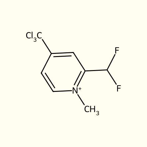 C[n+]1ccc(C(Cl)(Cl)Cl)cc1C(F)F